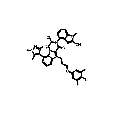 Cc1cc(OCCCc2c3n(c4c(-c5c(C)nn(C)c5C)cccc24)[C@H](C)C(Cl)N(c2cccc4c2cc(C#N)n4C)C3=O)cc(C)c1Cl